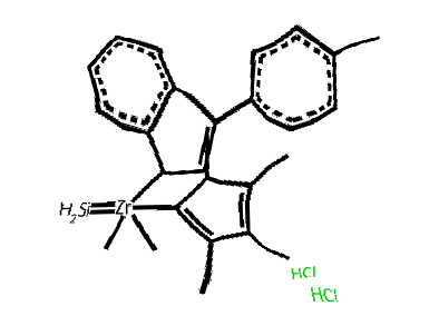 CC1=C(C)C(C)[C]([Zr]([CH3])([CH3])(=[SiH2])[CH]2C=C(c3ccc(C)cc3)c3ccccc32)=C1C.Cl.Cl